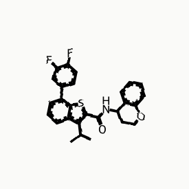 CC(C)c1c(C(=O)NC2CCOc3ccccc32)sc2c(-c3ccc(F)c(F)c3)cccc12